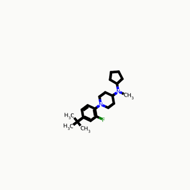 CN(C1CCCC1)C1CCN(c2ccc(C(C)(C)C)cc2F)CC1